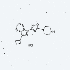 Cl.c1ccc2c(c1)c(C1CCC1)nn2-c1noc(C2CCNCC2)n1